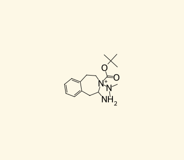 CN(C)[N+]1(C(=O)OC(C)(C)C)CCc2ccccc2CC1N